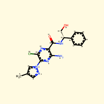 Cc1cnn(-c2nc(N)c(C(=O)N[C@H](CO)c3ccccc3)nc2Cl)c1